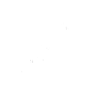 CB1OCc2cc(Oc3ccccc3C(=O)N3CCOCC3)ccc21